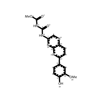 COC(=O)NC(=O)Nc1cnc2ccc(-c3ccc(O)c(OC)c3)nc2n1